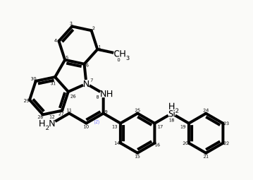 CC1CC=Cc2c1n(N/C(=C\CN)c1cccc([SiH2]c3ccccc3)c1)c1ccccc21